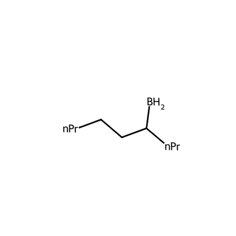 BC(CCC)CCCCC